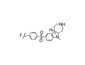 CN1c2ccc(S(=O)(=O)c3ccc(C(F)(F)F)cc3)cc2[C@@H]2CCNCCC21